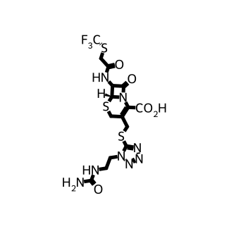 NC(=O)NCCn1nnnc1SCC1=C(C(=O)O)N2C(=O)C(NC(=O)CSC(F)(F)F)[C@H]2SC1